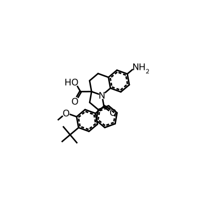 COc1cc(C(=O)N2c3ccc(N)cc3CCC2(Cc2ccccc2)C(=O)O)ccc1C(C)(C)C